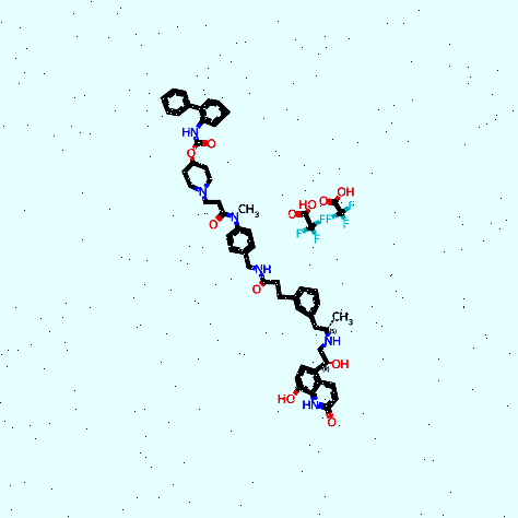 C[C@@H](Cc1cccc(CCC(=O)NCc2ccc(N(C)C(=O)CCN3CCC(OC(=O)Nc4ccccc4-c4ccccc4)CC3)cc2)c1)NC[C@H](O)c1ccc(O)c2[nH]c(=O)ccc12.O=C(O)C(F)(F)F.O=C(O)C(F)(F)F